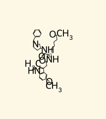 COc1ccc2[nH]c(C)c(CC(=O)N[C@@H](CCCCCC(C)=O)C(=O)NC3CCN(Cc4ccccc4)C3)c2c1